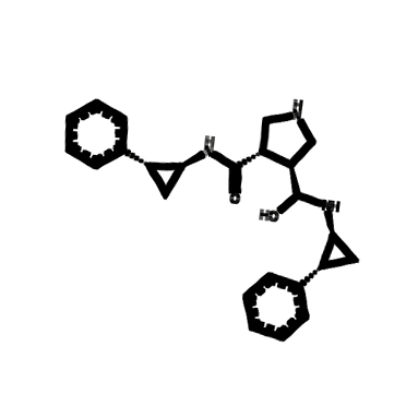 O=C(N[C@H]1C[C@@H]1c1ccccc1)[C@@H]1CNC[C@H]1C(O)N[C@H]1C[C@@H]1c1ccccc1